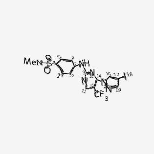 CNS(=O)(=O)c1ccc(Nc2ncc(C(F)(F)F)c(-n3cc(I)cn3)n2)cc1